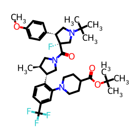 COc1ccc([C@@H]2CN(C(C)(C)C)C[C@@]2(F)C(=O)N2C[C@H](c3ccc(C(F)(F)F)cc3N3CCC(C(=O)OC(C)(C)C)CC3)[C@@H](C)C2)cc1